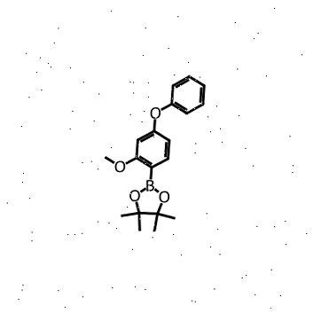 COc1cc(Oc2ccccc2)ccc1B1OC(C)(C)C(C)(C)O1